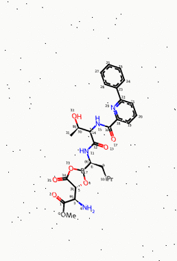 COC(=O)[C@H](N)[C@H]1OB([C@H](CC(C)C)NC(=O)C(NC(=O)c2cccc(-c3ccccc3)n2)[C@@H](C)O)OC1=O